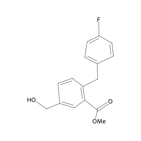 COC(=O)c1cc(CO)ccc1Cc1ccc(F)cc1